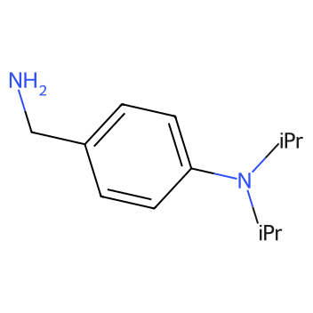 CC(C)N(c1ccc(CN)cc1)C(C)C